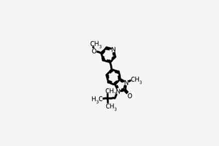 COc1cncc(-c2ccc3c(c2)n(C)c(=O)n3CC(C)(C)C)c1